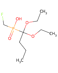 CCCC(OCC)(OCC)P(=O)(O)CF